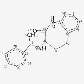 CC(N[C@H]1CCc2ccccc2NC1=O)c1ccccc1